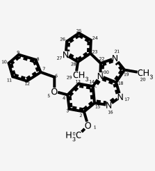 COc1cc(OCc2ccccc2)cc2c1nnc1c(C)nc(-c3cccnc3C)n12